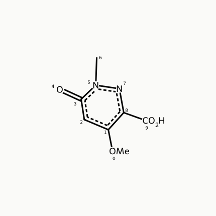 COc1cc(=O)n(C)nc1C(=O)O